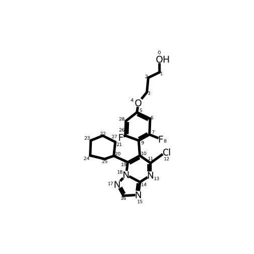 OCCCOc1cc(F)c(-c2c(Cl)nc3ncnn3c2C2CCCCC2)c(F)c1